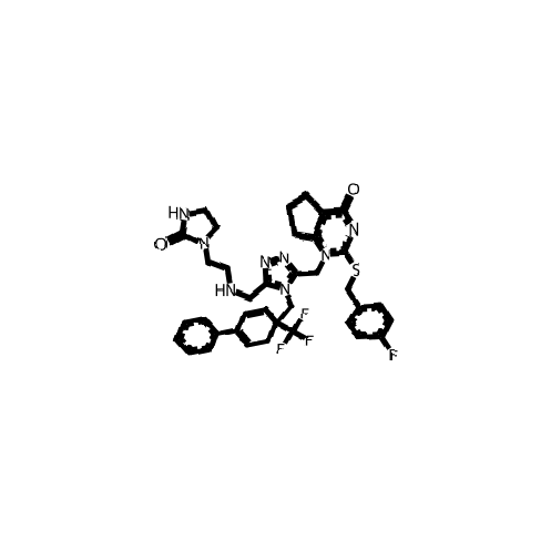 O=C1NCCN1CCNCc1nnc(Cn2c(SCc3ccc(F)cc3)nc(=O)c3c2CCC3)n1CC1(C(F)(F)F)C=CC(c2ccccc2)=CC1